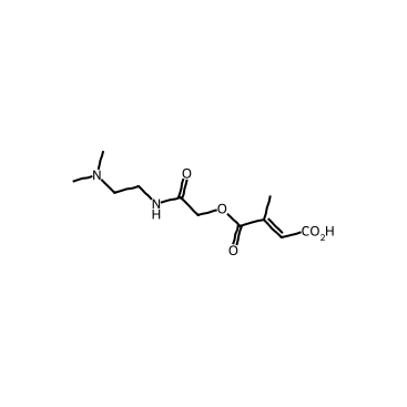 C/C(=C\C(=O)O)C(=O)OCC(=O)NCCN(C)C